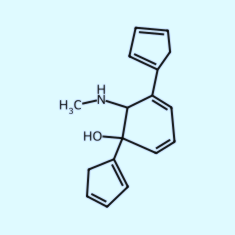 CNC1C(C2=CC=CC2)=CC=CC1(O)C1=CC=CC1